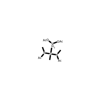 CC(=O)N(C)[Si](C)(C)N(C)C(C)=O.CC(=O)O[SiH2]OC(C)=O